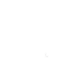 C=Cc1ccc(OS(C)(=O)=O)cc1.[Na]